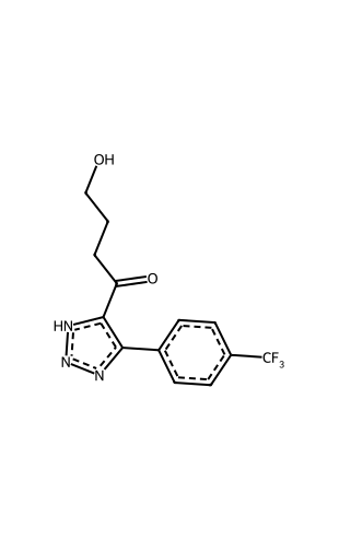 O=C(CCCO)c1[nH]nnc1-c1ccc(C(F)(F)F)cc1